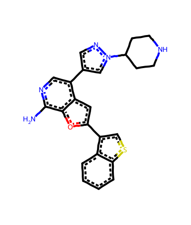 Nc1ncc(-c2cnn(C3CCNCC3)c2)c2cc(-c3csc4ccccc34)oc12